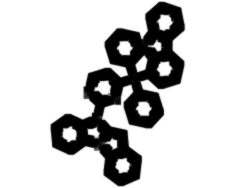 c1ccc([Si](c2ccccc2)(c2ccnc(-n3c4ccccc4n4c5ccccc5cc34)n2)c2cccc3c2sc2ccccc23)cc1